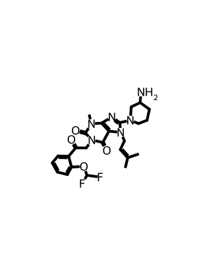 CC(C)=CCn1c(N2CCCC(N)C2)nc2c1c(=O)n(CC(=O)c1ccccc1OC(F)F)c(=O)n2C